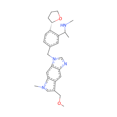 CNC(C)c1cc(Cn2cnc3cc4c(COC)cn(C)c4cc32)ccc1[C@@H]1CCCO1